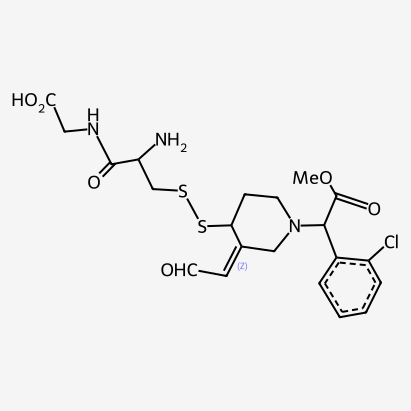 COC(=O)C(c1ccccc1Cl)N1CCC(SSCC(N)C(=O)NCC(=O)O)/C(=C\C=O)C1